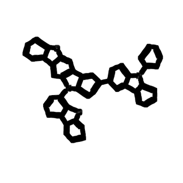 c1ccc(-n2c3ccccc3c3cc(-c4ccc5c(c4)c4cc6oc7ccccc7c6cc4n5-c4cccc5c4oc4ccccc45)ccc32)cc1